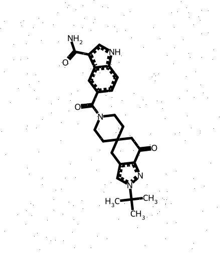 CC(C)(C)n1cc2c(n1)C(=O)CC1(CCN(C(=O)c3ccc4[nH]cc(C(N)=O)c4c3)CC1)C2